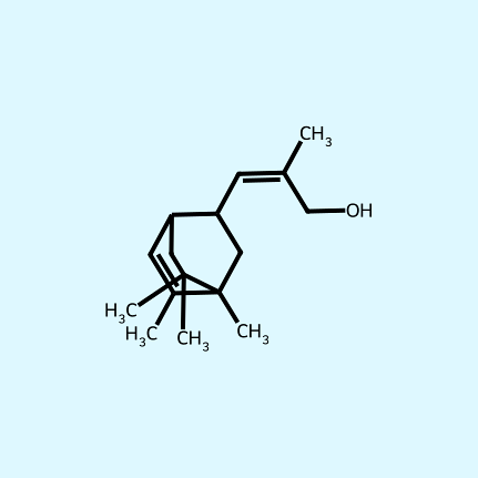 CC(=CC1CC2(C)C(C)=CC1CC2(C)C)CO